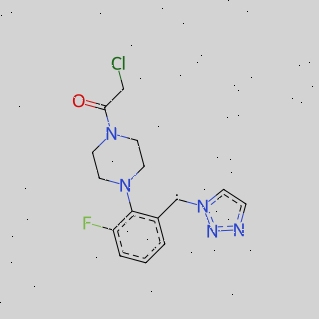 O=C(CCl)N1CCN(c2c(F)cccc2[CH]n2ccnn2)CC1